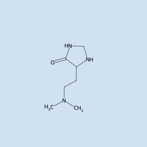 CN(C)CCC1NCNC1=O